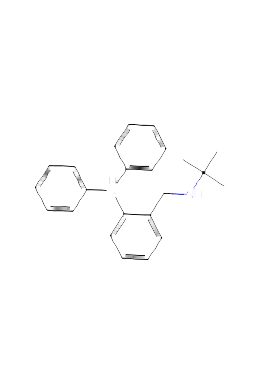 CC(C)(C)NCc1ccccc1[SiH](c1ccccc1)c1ccccc1